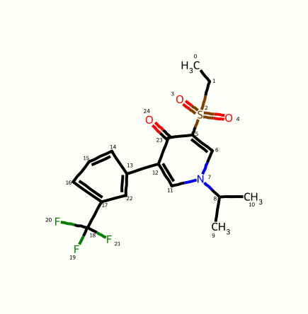 CCS(=O)(=O)c1cn(C(C)C)cc(-c2cccc(C(F)(F)F)c2)c1=O